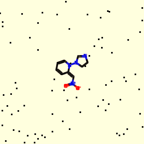 O=[N+]([O-])C=C1C=CC=CN1N1C=NCC1